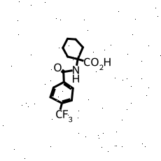 O=C(NC1(C(=O)O)CCCCC1)c1ccc(C(F)(F)F)cc1